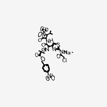 CC(C)C1C(NC(=O)C(=NOC(C)(C)C(=O)OCc2ccc([N+](=O)[O-])cc2)c2csc(NC(=O)CCl)n2)C(=O)N1S(=O)(=O)[O-].[Na+]